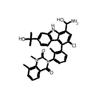 Cc1c(-c2c(Cl)cc(C(N)O)c3[nH]c4cc(C(C)(C)O)ccc4c23)cccc1-n1c(=O)c2cccc(C)c2n(C)c1=O